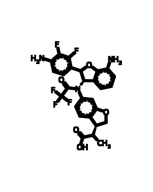 CC(C(=O)O)[C@@H]1COc2cc(N(C(=O)C(F)(F)F)[C@H]3c4cccc(N)c4OC3c3ccc(N)c(F)c3F)ccc21